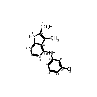 Cc1c(C(=O)O)[nH]c2ncnc(Nc3cccc(Cl)c3)c12